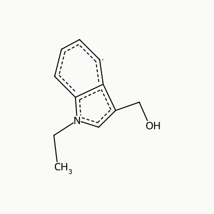 CCn1cc(CO)c2[c]cccc21